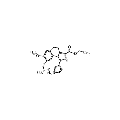 CCOC(=O)c1nn(-c2ccsc2)c2c1CCc1cc(OC)c(OC(C)C)cc1-2